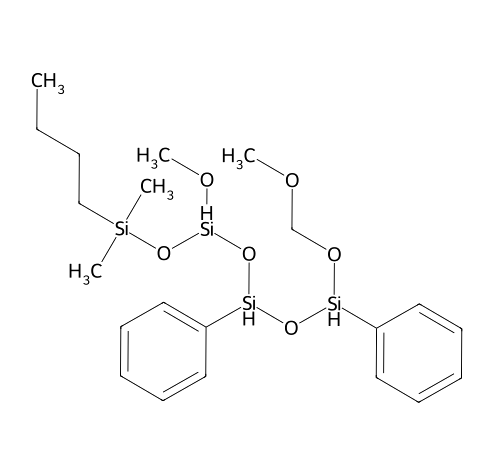 CCCC[Si](C)(C)O[SiH](OC)O[SiH](O[SiH](OCOC)c1ccccc1)c1ccccc1